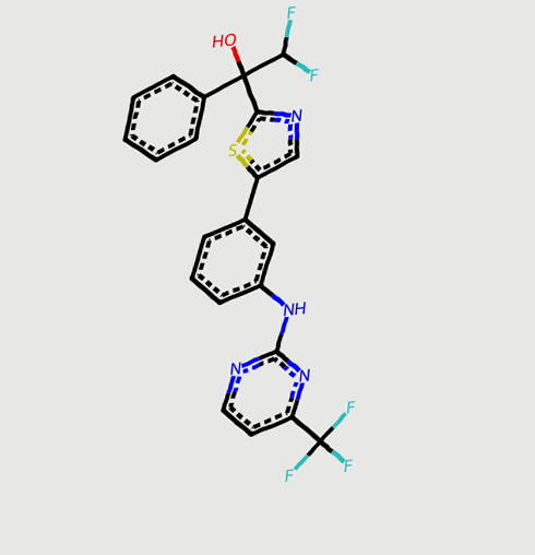 OC(c1ccccc1)(c1ncc(-c2cccc(Nc3nccc(C(F)(F)F)n3)c2)s1)C(F)F